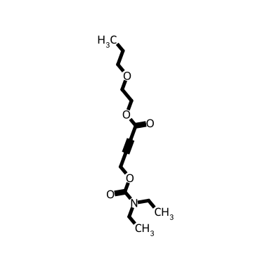 CCCOCCOC(=O)C#CCOC(=O)N(CC)CC